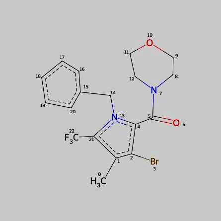 Cc1c(Br)c(C(=O)N2CCOCC2)n(Cc2ccccc2)c1C(F)(F)F